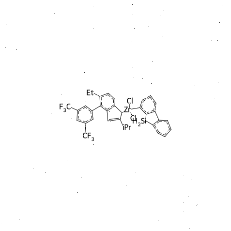 CCc1ccc2c(c1-c1cc(C(F)(F)F)cc(C(F)(F)F)c1)C=C(C(C)C)[CH]2[Zr]([Cl])([Cl])[c]1cccc2c1[SiH2]c1ccccc1-2